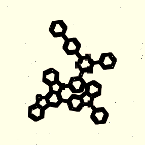 c1ccc(-c2ccc(-c3nc(-c4ccccc4)nc(-c4cccc(-n5c6ccccc6c6c7oc8ccccc8c7cc(-c7ccc8c(c7)c7ccccc7n8-c7ccccc7)c65)c4)n3)cc2)cc1